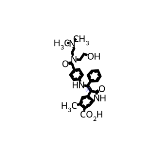 Cc1cc2c(cc1C(=O)O)NC(=O)/C2=C(/Nc1ccc(C(=O)N(CCO)CCN(C)C)cc1)c1ccccc1